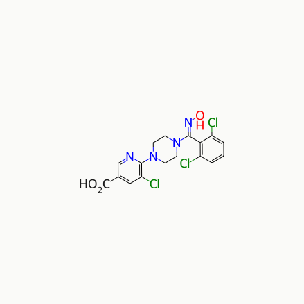 O=C(O)c1cnc(N2CCN(C(=NO)c3c(Cl)cccc3Cl)CC2)c(Cl)c1